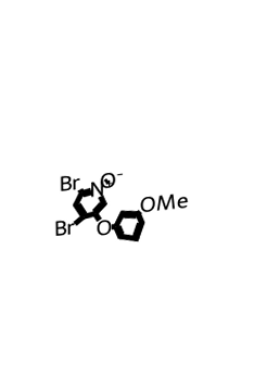 COc1cccc(Oc2c[n+]([O-])c(Br)cc2Br)c1